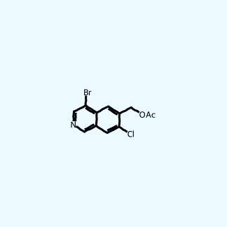 CC(=O)OCc1cc2c(Br)cncc2cc1Cl